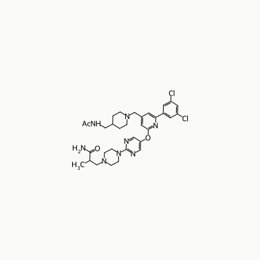 CC(=O)NCC1CCN(Cc2cc(Oc3cnc(N4CCN(CC(C)C(N)=O)CC4)nc3)nc(-c3cc(Cl)cc(Cl)c3)c2)CC1